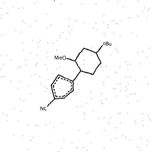 CCCCC1CCC(c2ccc(C#N)cc2)C(OC)C1